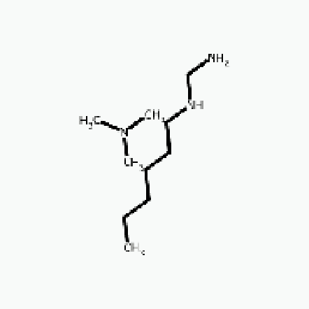 CCCCCCNCN.CN(C)C